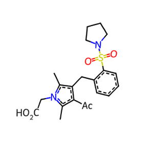 CC(=O)c1c(Cc2ccccc2S(=O)(=O)N2CCCC2)c(C)n(CC(=O)O)c1C